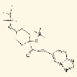 CC(C)(C)[Si](C)(C)OC1CCC(O[Si](C)(C)C)(C(=O)C#Cc2ccc3ncnn3c2)CC1